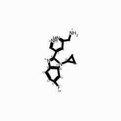 N=C/C(=C\C(=N)CN)c1nc2ccc(F)cc2n1C1CC1